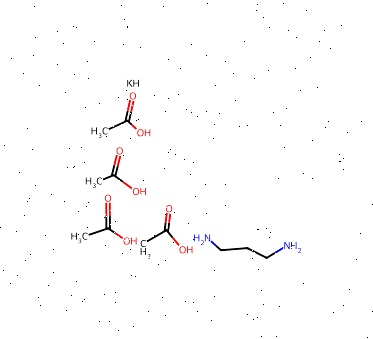 CC(=O)O.CC(=O)O.CC(=O)O.CC(=O)O.NCCCN.[KH]